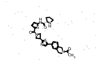 CC(=O)N1CCc2cc(-c3cnc(C4CN(C(=O)c5ccc(NC(=O)[C@@H]6CCCN6)s5)C4)s3)ccc2C1